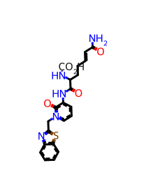 NC(=O)C=CCCC(NC(=O)O)C(=O)Nc1cccn(Cc2nc3ccccc3s2)c1=O